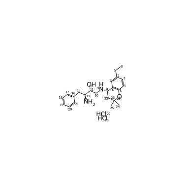 CCc1ccc2c(c1)[C@@H](NC[C@@H](O)[C@@H](N)Cc1ccccc1)CC(C)(C)O2.Cl.Cl